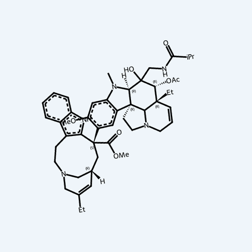 CCC1=C[C@@H]2CN(CCc3c([nH]c4ccccc34)[C@@](C(=O)OC)(c3cc4c(cc3OC)N(C)[C@H]3C(O)(CNC(=O)C(C)C)[C@H](OC(C)=O)[C@]5(CC)C=CCN6CC[C@]43C65)C2)C1